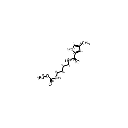 Cc1c[nH]c(C(=O)NCCCCNC(=O)OC(C)(C)C)c1